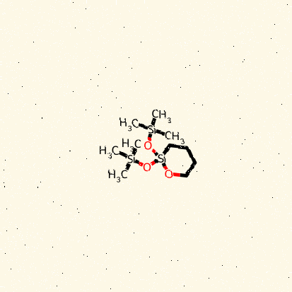 C[Si](C)(C)O[Si]1(O[Si](C)(C)C)CCCCO1